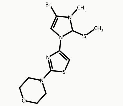 CSC1N(C)C(Br)=CN1c1csc(N2CCOCC2)n1